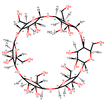 O=S(=O)(O)O[C@@H]1[C@@H](O)[C@H]2O[C@H]3[C@H](O)[C@@H](O)[C@@H](O[C@H]4[C@H](O)[C@@H](O)[C@@H](O[C@H]5[C@H](O)[C@@H](O)[C@@H](O[C@H]6[C@H](O)[C@@H](O)[C@@H](O[C@H]7[C@H](O)[C@@H](O)[C@@H](O[C@H]1[C@@H](CO)O2)O[C@@H]7CO)O[C@@H]6CO)O[C@@H]5CO)O[C@@H]4CO)O[C@@H]3CO